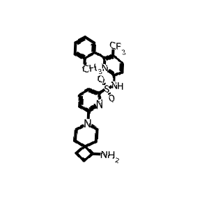 Cc1ccccc1-c1nc(NS(=O)(=O)c2cccc(N3CCC4(CCC4N)CC3)n2)ccc1C(F)(F)F